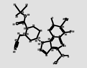 Cc1cc2c(nc([S+](C)[O-])c3cnn([C@H]4CCN(C(=O)OC(C)(C)C)[C@H](CC#N)C4)c32)c(F)c1Br